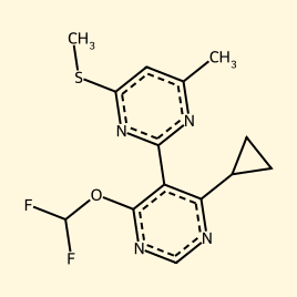 CSc1cc(C)nc(-c2c(OC(F)F)ncnc2C2CC2)n1